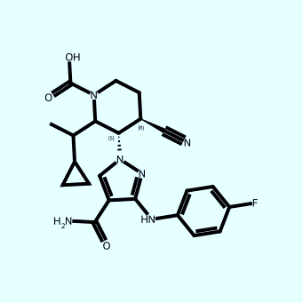 CC(C1CC1)C1[C@@H](n2cc(C(N)=O)c(Nc3ccc(F)cc3)n2)[C@H](C#N)CCN1C(=O)O